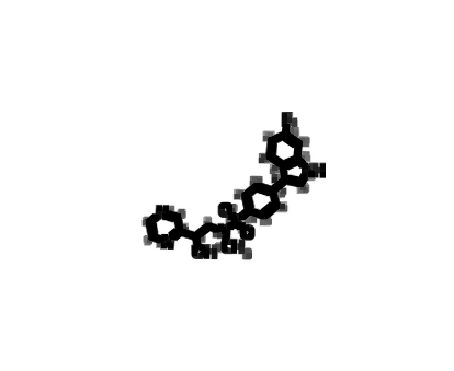 CN(CC(O)c1cnccn1)S(=O)(=O)c1ccc(-c2c[nH]c3cc(F)ccc23)cc1